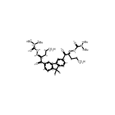 CCCCN(CCCC)C(=O)O/N=C(\CCC(=O)O)C(=O)c1ccc2c(c1)-c1cc(C(=O)/C(CCC(=O)O)=N/OC(=O)N(CCCC)CCCC)ccc1C2(C)C